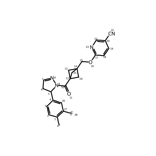 Cc1ccc(C2CC=NN2C(=O)C23CC(COc4ccc(C#N)cn4)(C2)C3)cc1F